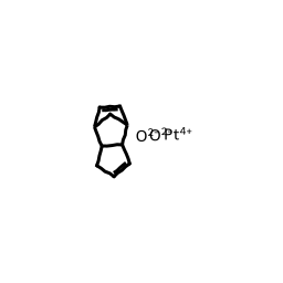 C1=CC2C3C=CC(C3)C2C1.[O-2].[O-2].[Pt+4]